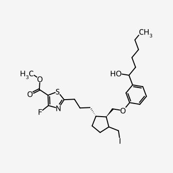 CCCCCC(O)c1cccc(OC[C@H]2C(CI)CC[C@@H]2CCCc2nc(F)c(C(=O)OC)s2)c1